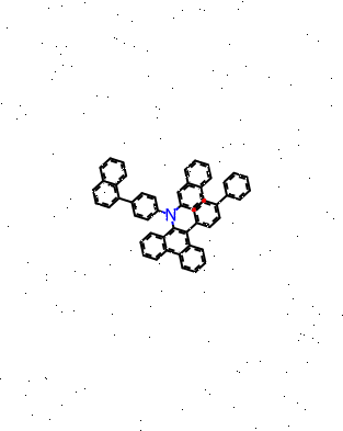 c1ccc(-c2ccc(-c3c(N(c4ccc(-c5cccc6ccccc56)cc4)c4ccc5ccccc5c4)c4ccccc4c4ccccc34)cc2)cc1